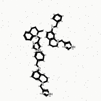 CC1CCc2ccccc2N1Cc1c[nH]cn1.c1ccc(COc2ccc3c(c2)N(Cc2c[nH]cn2)CCC3)cc1.c1ccc(COc2cccc3c2CCCN3Cc2c[nH]cn2)cc1